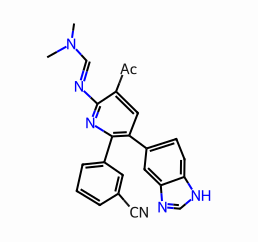 CC(=O)c1cc(-c2ccc3[nH]cnc3c2)c(-c2cccc(C#N)c2)nc1/N=C/N(C)C